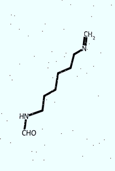 C=NCCCCCCNC=O